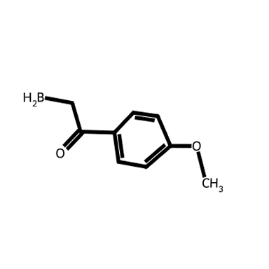 BCC(=O)c1ccc(OC)cc1